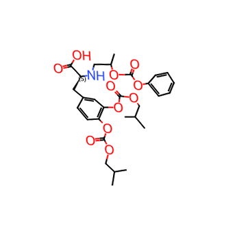 CC(C)COC(=O)Oc1ccc(C[C@H](NCC(C)OC(=O)Oc2ccccc2)C(=O)O)cc1OC(=O)OCC(C)C